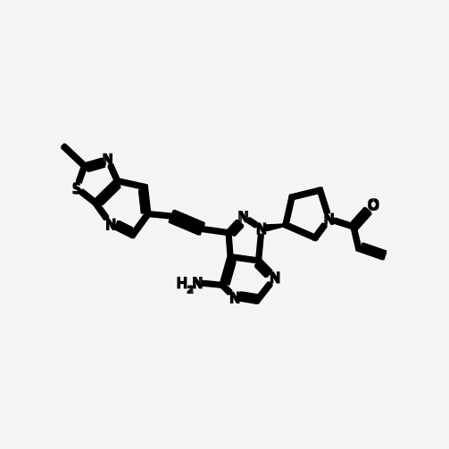 C=CC(=O)N1CC[C@H](n2nc(C#Cc3cnc4sc(C)nc4c3)c3c(N)ncnc32)C1